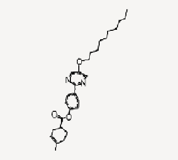 CCCCCCCCCCOc1cnc(-c2ccc(OC(=O)C3CC=C(C)CC3)cc2)nc1